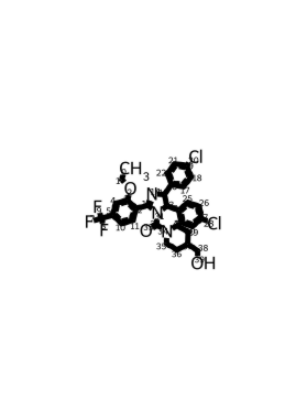 CCOc1cc(C(F)(F)F)ccc1C1=NC(c2ccc(Cl)cc2)C(c2ccc(Cl)cc2)N1C(=O)N1CCC(CO)CC1